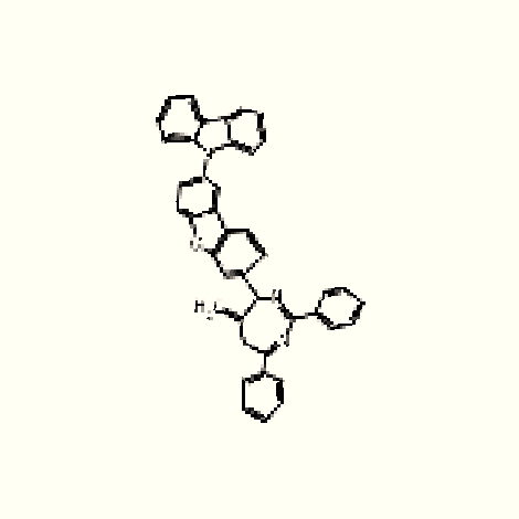 C=C1CC(c2ccccc2)=NC(c2ccccc2)=NC1c1ccc2c(c1)oc1ccc(-n3c4ccccc4c4ccccc43)cc12